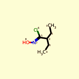 CCC(CC)C(Cl)=NO